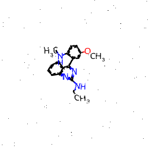 CCNc1nc(-c2cc(OC)ccc2NC)c2ccccc2n1